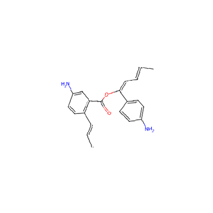 [CH2]/C=C/c1ccc(N)cc1C(=O)O/C(=C/C=C/C)c1ccc(N)cc1